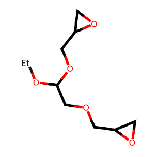 CCOC(COCC1CO1)OCC1CO1